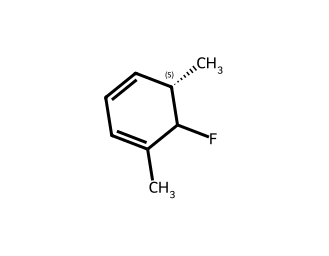 CC1=CC=C[C@H](C)C1F